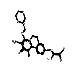 Bc1c(OC[C@@H]2COCCO2)n2c(c(C)c1=O)-c1ccc(OC(O)=C(F)F)cc1CC2